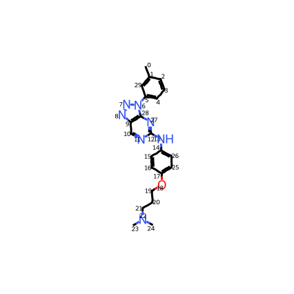 Cc1cccc(-n2nnc3cnc(Nc4ccc(OCCCN(C)C)cc4)nc32)c1